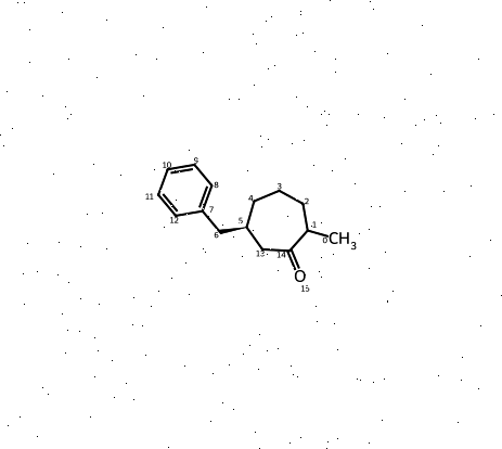 CC1CCC[C@H](Cc2ccccc2)CC1=O